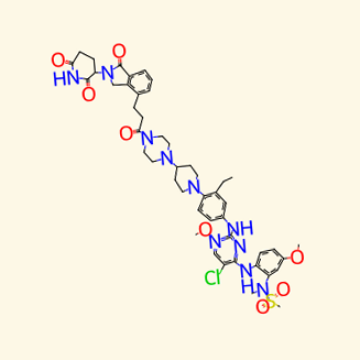 CCc1cc(Nc2ncc(Cl)c(Nc3ccc(OC)cc3N(C)S(C)(=O)=O)n2)c(OC)cc1N1CCC(N2CCN(C(=O)CCc3cccc4c3CN(C3CCC(=O)NC3=O)C4=O)CC2)CC1